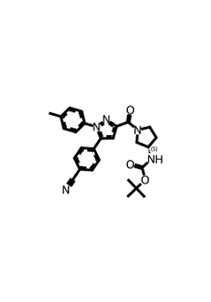 Cc1ccc(-n2nc(C(=O)N3CC[C@H](NC(=O)OC(C)(C)C)C3)cc2-c2ccc(C#N)cc2)cc1